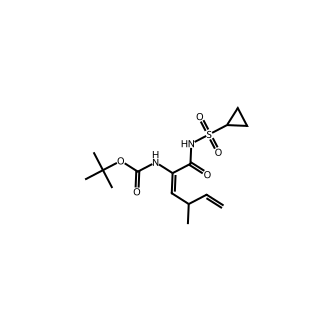 C=CC(C)/C=C(/NC(=O)OC(C)(C)C)C(=O)NS(=O)(=O)C1CC1